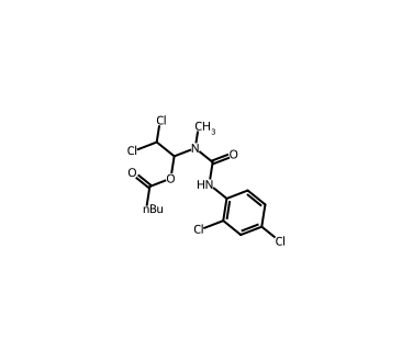 CCCCC(=O)OC(C(Cl)Cl)N(C)C(=O)Nc1ccc(Cl)cc1Cl